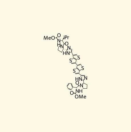 COC(=O)N[C@H](C(=O)N1CCC[C@H]1c1ncc(-c2csc3c(-c4csc5c(-c6cnc(C7CCCN7C(=O)[C@H](NC(=O)OC)c7ccccc7)[nH]6)csc45)csc23)[nH]1)C(C)C